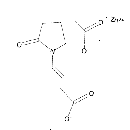 C=CN1CCCC1=O.CC(=O)[O-].CC(=O)[O-].[Zn+2]